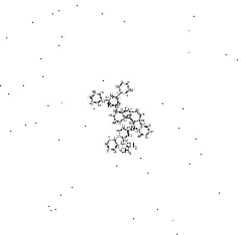 CC1(C)c2ccccc2-c2ccc(-n3c4ccccc4c4ccc5oc6c(-c7nc(-c8ccccc8)nc(-c8ccccc8)n7)cccc6c5c43)cc21